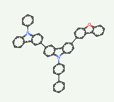 c1ccc(-c2ccc(-n3c4ccc(-c5ccc6oc7ccccc7c6c5)cc4c4cc(-c5ccc6c(c5)c5ccccc5n6-c5ccccc5)ccc43)cc2)cc1